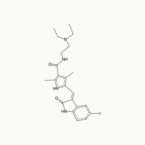 CCN(CC)CCNC(=O)c1c(C)[nH]c(C=C2C(=O)Nc3ccc(I)cc32)c1C